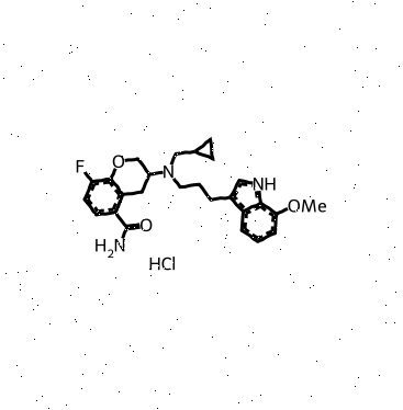 COc1cccc2c(CCCN(CC3CC3)C3COc4c(F)ccc(C(N)=O)c4C3)c[nH]c12.Cl